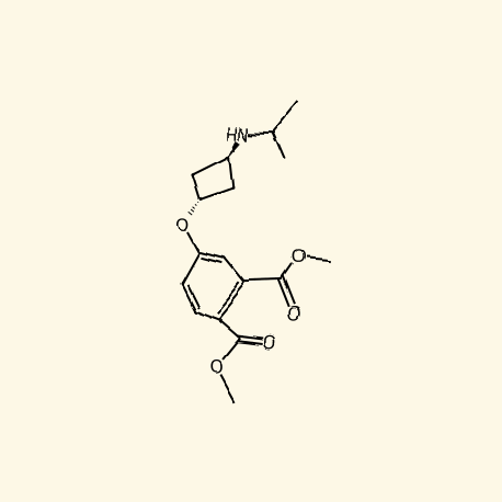 COC(=O)c1ccc(O[C@H]2C[C@H](NC(C)C)C2)cc1C(=O)OC